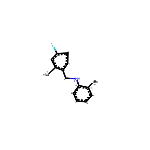 CC(C)(C)c1cc(F)ccc1CNc1ccccc1C(C)(C)C